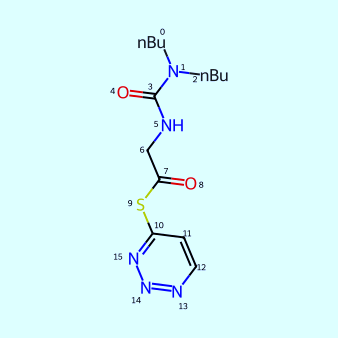 CCCCN(CCCC)C(=O)NCC(=O)Sc1ccnnn1